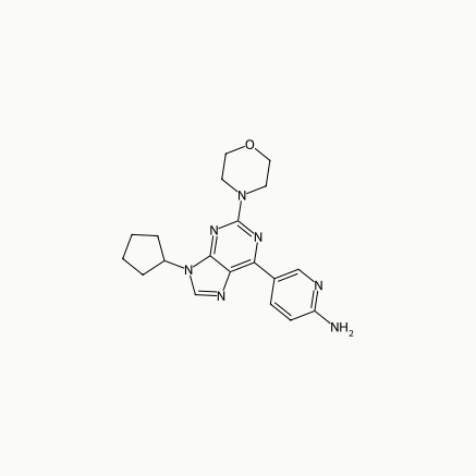 Nc1ccc(-c2nc(N3CCOCC3)nc3c2ncn3C2CCCC2)cn1